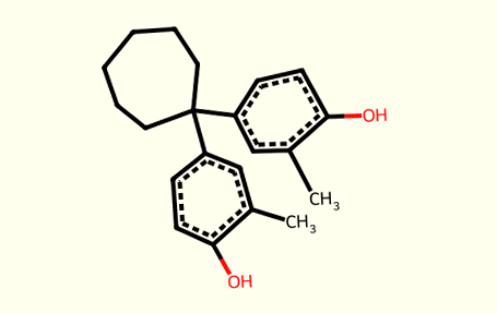 Cc1cc(C2(c3ccc(O)c(C)c3)CCCCCC2)ccc1O